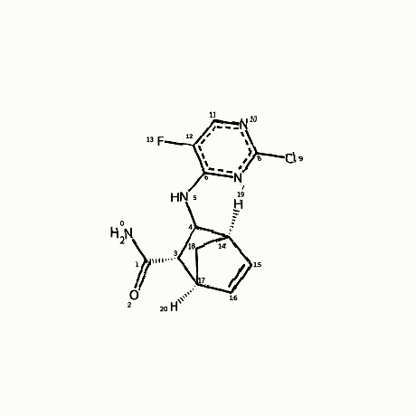 NC(=O)[C@@H]1C(Nc2nc(Cl)ncc2F)[C@H]2C=C[C@@H]1C2